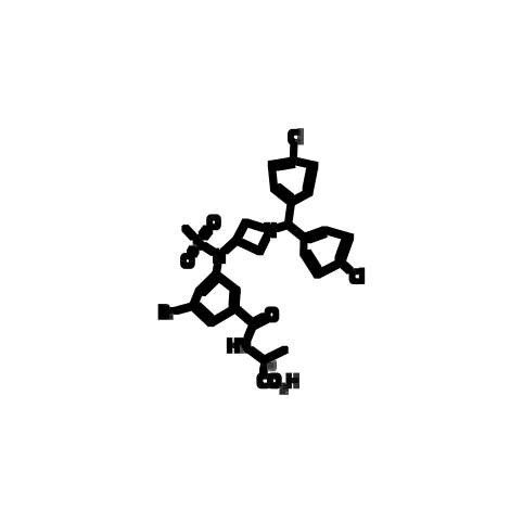 C[C@H](NC(=O)c1cc(Br)cc(N(C2CN(C(c3ccc(Cl)cc3)c3ccc(Cl)cc3)C2)S(C)(=O)=O)c1)C(=O)O